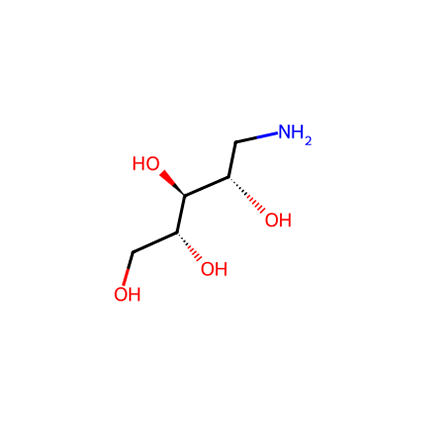 NC[C@H](O)[C@H](O)[C@H](O)CO